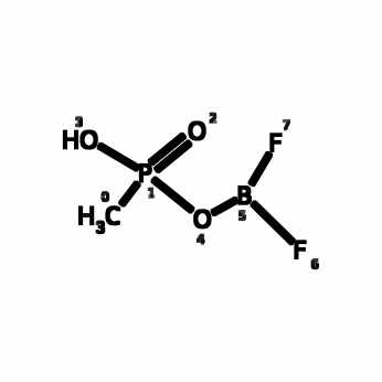 CP(=O)(O)OB(F)F